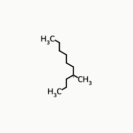 CCCCCC[C](C)CCC